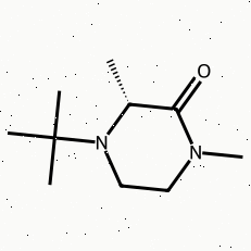 C[C@@H]1C(=O)N(C)CCN1C(C)(C)C